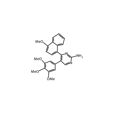 COc1cc(-c2cnc(N)nc2-c2ccc(OC)c3ccccc23)cc(OC)c1OC